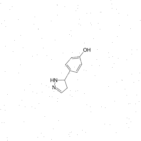 Oc1ccc(C2CC=NN2)cc1